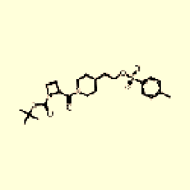 Cc1ccc(S(=O)(=O)OCCC2CCN(C(=O)C3CCN3C(=O)OC(C)(C)C)CC2)cc1